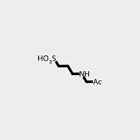 CC(=O)CNCCCS(=O)(=O)O